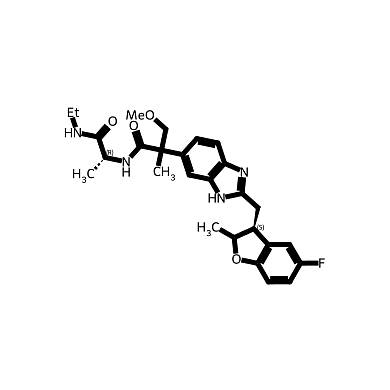 CCNC(=O)[C@@H](C)NC(=O)C(C)(COC)c1ccc2nc(C[C@H]3c4cc(F)ccc4OC3C)[nH]c2c1